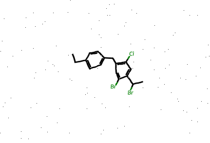 CCc1ccc(Cc2cc(Br)c(C(C)Br)cc2Cl)cc1